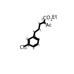 CCOC(=O)C(CCCc1cccc(Cl)c1)C(C)=O